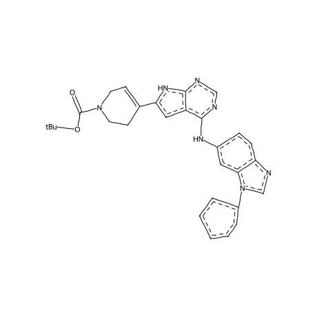 CC(C)(C)OC(=O)N1CC=C(c2cc3c(Nc4ccc5ncn(-c6ccccc6)c5c4)ncnc3[nH]2)CC1